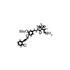 COc1cc(CCNC(=O)C(C(C)CN)S(C)(=O)=O)ccc1OCC#Cc1ccccc1Cl